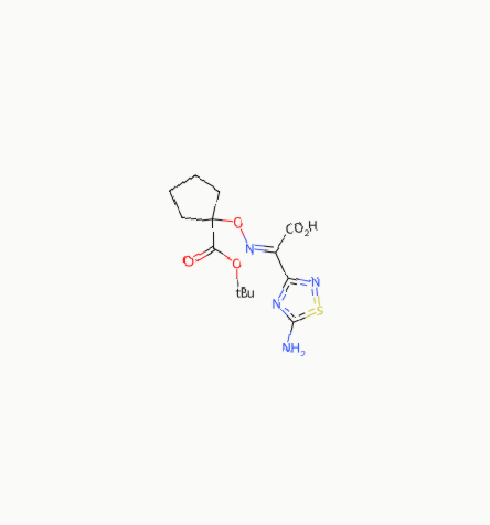 CC(C)(C)OC(=O)C1(ON=C(C(=O)O)c2nsc(N)n2)CCCC1